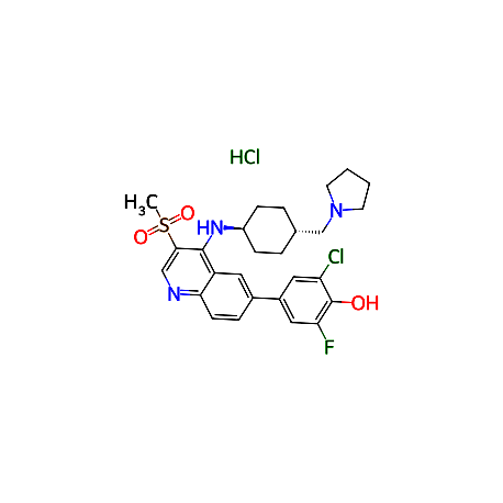 CS(=O)(=O)c1cnc2ccc(-c3cc(F)c(O)c(Cl)c3)cc2c1N[C@H]1CC[C@H](CN2CCCC2)CC1.Cl